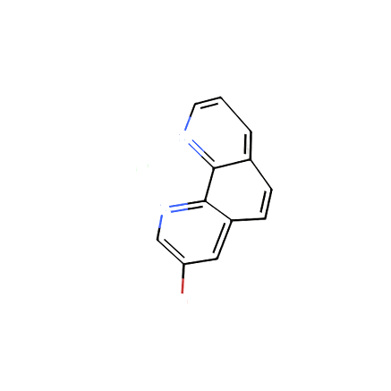 Brc1cnc2c(ccc3cccnc32)c1.Cl